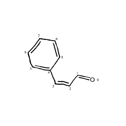 O=C/C=C\c1ccccc1